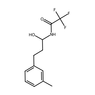 Cc1cccc(CCC(O)NC(=O)C(F)(F)F)c1